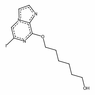 OCCCCCCOc1nc(I)cn2ccnc12